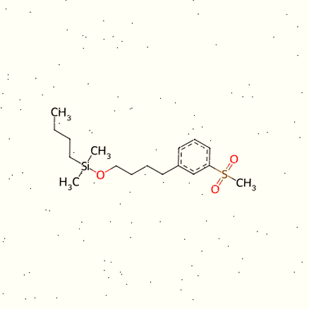 CCCC[Si](C)(C)OCCCCc1cccc(S(C)(=O)=O)c1